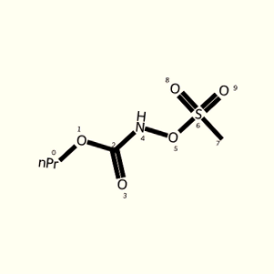 CCCOC(=O)NOS(C)(=O)=O